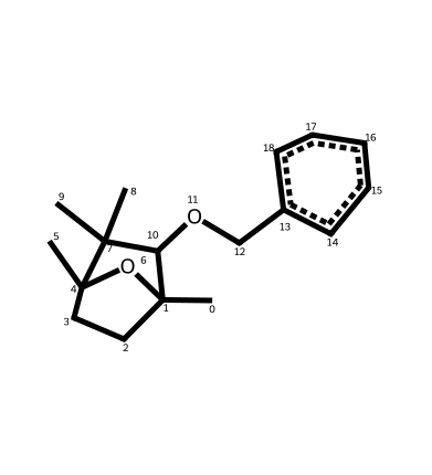 CC12CCC(C)(O1)C(C)(C)C2OCc1ccccc1